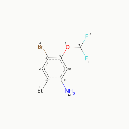 CCc1cc(Br)c(OC(F)F)cc1N